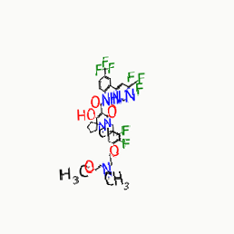 COCCN(C)CCOc1ccc(CN2C(=O)C(C(=O)Nc3ccc(C(F)(F)F)cc3-c3cc(C(F)(F)F)ncn3)=C(O)C3(CCCC3)N2C)c(F)c1F